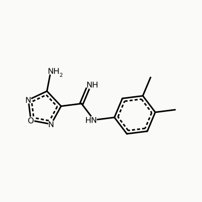 Cc1ccc(NC(=N)c2nonc2N)cc1C